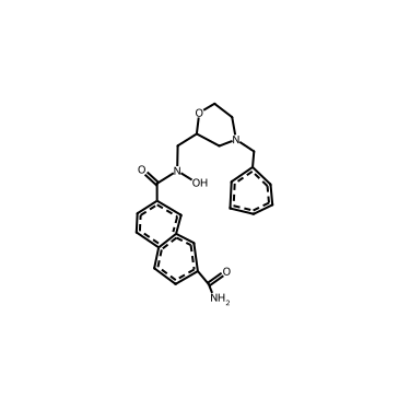 NC(=O)c1ccc2ccc(C(=O)N(O)CC3CN(Cc4ccccc4)CCO3)cc2c1